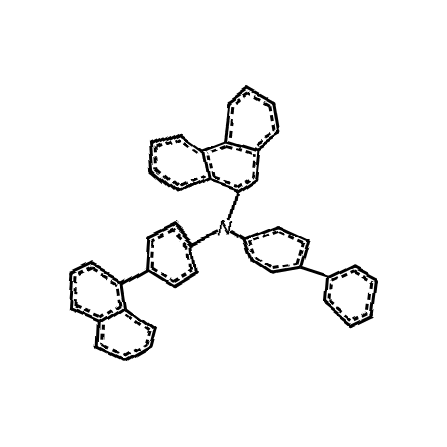 c1ccc(-c2ccc(N(c3ccc(-c4cccc5ccccc45)cc3)c3cc4ccccc4c4ccccc34)cc2)cc1